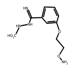 N=C(NNC(=O)O)c1cccc(OCCON)c1